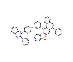 c1ccc(-c2nc3ccccc3c3c(-c4cccc(-c5ccc(-n6c(-c7ccccc7)nc7ccccc76)cc5)c4)c4c(cc23)oc2ccccc24)cc1